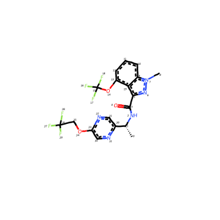 C[C@@H](NC(=O)c1nn(C)c2cccc(OC(F)(F)F)c12)c1cnc(OCC(F)(F)F)cn1